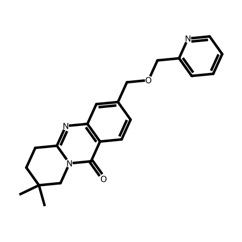 CC1(C)CCc2nc3cc(COCc4ccccn4)ccc3c(=O)n2C1